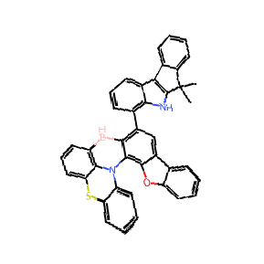 CC1(C)c2ccccc2-c2c1[nH]c1c(-c3cc4c(oc5ccccc54)c4c3Bc3cccc5c3N4c3ccccc3S5)cccc21